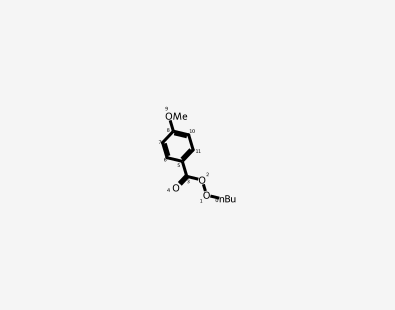 CCCCOOC(=O)c1ccc(OC)cc1